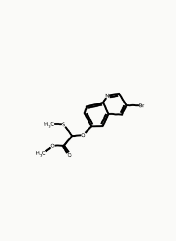 COC(=O)C(Oc1ccc2ncc(Br)cc2c1)SC